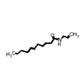 C=CCNC(=O)CCCCCCCCCC